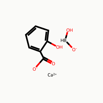 O=C([O-])c1ccccc1O.[Ca+2].[O-]BO